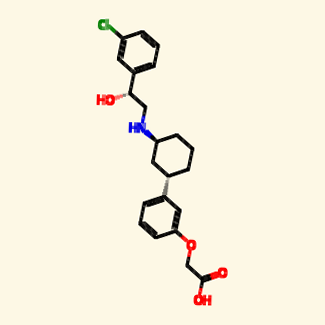 O=C(O)COc1cccc([C@H]2CCC[C@H](NC[C@H](O)c3cccc(Cl)c3)C2)c1